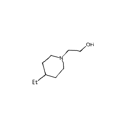 CCC1CCN(CCO)CC1